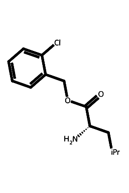 CC(C)C[C@H](N)C(=O)OCc1ccccc1Cl